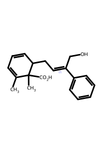 CC1=CC=CC(C/C=C(\CO)c2ccccc2)C1(C)C(=O)O